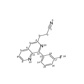 N#CCCc1cc2cccnc2c(-c2cccc(F)c2)n1